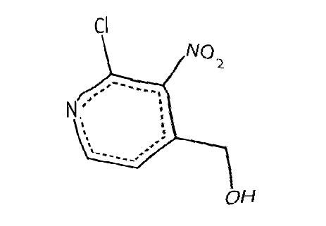 O=[N+]([O-])c1c(CO)ccnc1Cl